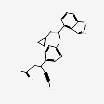 CC#CC(CC(=O)O)c1ccc(O[C@@H](CC2CC2)c2cccc3[nH]ncc23)cc1